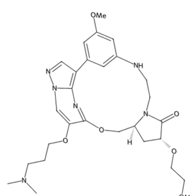 COCCO[C@@H]1C[C@H]2COc3nc4c(cnn4cc3OCCCN(C)C)-c3cc(cc(OC)c3)NCCN2C1=O